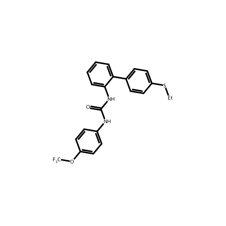 CCSc1ccc(-c2ccccc2NC(=O)Nc2ccc(OC(F)(F)F)cc2)cc1